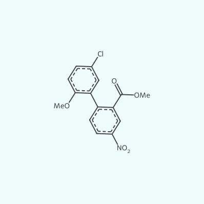 COC(=O)c1cc([N+](=O)[O-])ccc1-c1cc(Cl)ccc1OC